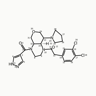 O=C(c1cn[nH]c1)N1CCN(C(=O)Cc2ccc(Cl)c(Cl)c2)[C@@H]2C(N3CCCC3)COCC21